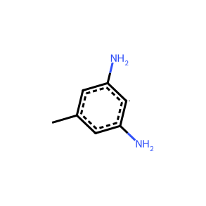 Cc1cc(N)[c]c(N)c1